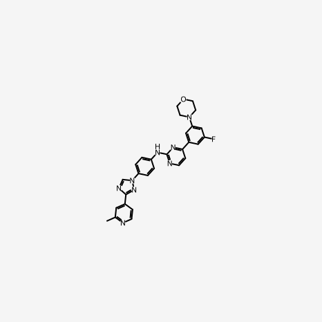 Cc1cc(-c2ncn(-c3ccc(Nc4nccc(-c5cc(F)cc(N6CCOCC6)c5)n4)cc3)n2)ccn1